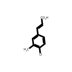 Cc1cc(C=CC(=O)O)ccc1Cl